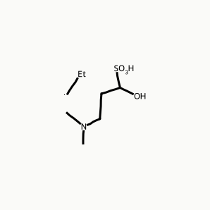 CN(C)CCC(O)S(=O)(=O)O.[CH2]CC